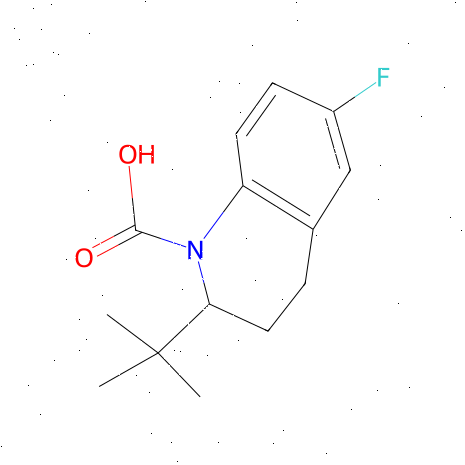 CC(C)(C)C1CCc2cc(F)ccc2N1C(=O)O